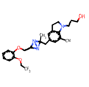 CC1(Cc2cc(C#N)c3c(c2)CCN3CCCO)N2C(COc3ccccc3OCC(F)(F)F)N21